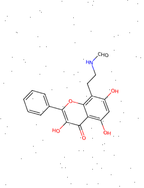 O=CNCCc1c(O)cc(O)c2c(=O)c(O)c(-c3ccccc3)oc12